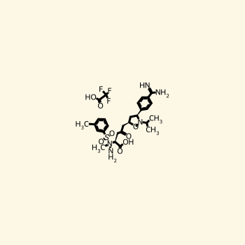 Cc1cccc(S(=O)(=O)[N+](C)(N)[C@@H](CC(=O)C[C@H]2C[C@@H](c3ccc(C(=N)N)cc3)N(C(C)C)O2)C(=O)O)c1.O=C(O)C(F)(F)F